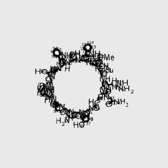 CCCC[C@H]1C(=O)N[C@@H](CCCNC(=N)N)C(=O)NC(C(=O)NCC(N)=O)CSCC(=O)N[C@@H](Cc2ccc(O)cc2)C(=O)N(C)[C@@H](C)C(=O)N[C@@H](CC(N)=O)C(=O)N2CCC[C@H]2C(=O)N[C@@H](Cc2cnc[nH]2)C(=O)N[C@@H](CC(C)C)C(=O)N2C[C@H](O)C[C@H]2C(=O)N[C@@H](Cc2c[nH]c3ccccc23)C(=O)N[C@@H](CO)C(=O)N[C@@H](Cc2c[nH]c3ccccc23)C(=O)N(C)[C@@H](CCOC)C(=O)N1C